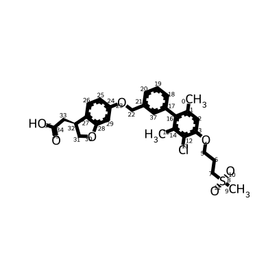 Cc1cc(OCCCS(C)(=O)=O)c(Cl)c(C)c1-c1cccc(COc2ccc3c(c2)OC[C@H]3CC(=O)O)c1